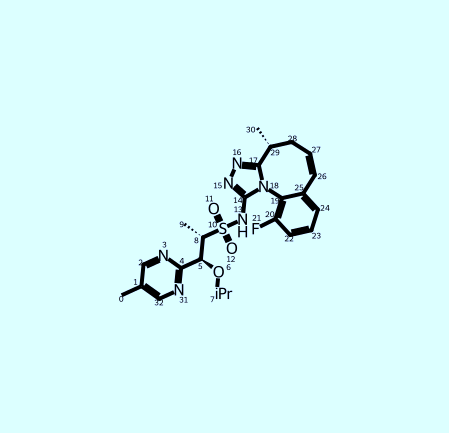 Cc1cnc([C@H](OC(C)C)[C@H](C)S(=O)(=O)Nc2nnc3n2-c2c(F)cccc2C=CC[C@H]3C)nc1